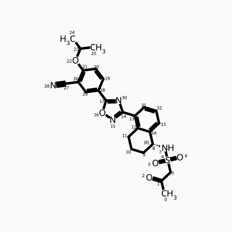 CC(=O)CS(=O)(=O)N[C@@H]1CCCc2c(-c3noc(-c4ccc(OC(C)C)c(C#N)c4)n3)cccc21